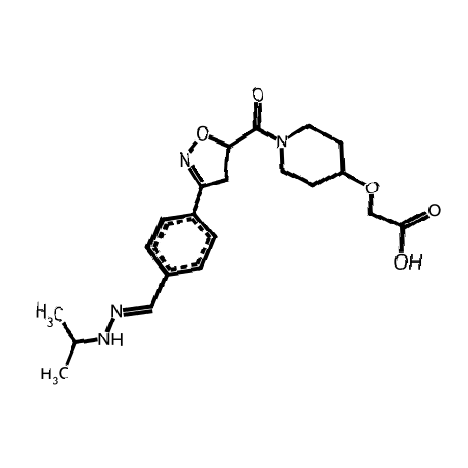 CC(C)NN=Cc1ccc(C2=NOC(C(=O)N3CCC(OCC(=O)O)CC3)C2)cc1